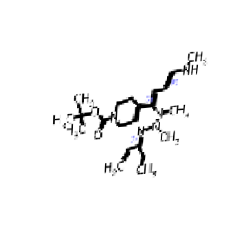 C=C/C(CC)=N/N(C)N(C)/C(=C\C=C\NC)C1=CCN(C(=O)OC(C)(C)C)CC1